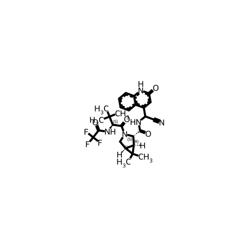 CC(C)(C)[C@H](NC(=O)C(F)(F)F)C(=O)N1C[C@H]2[C@@H]([C@H]1C(=O)NC(C#N)c1cc(=O)[nH]c3ccccc13)C2(C)C